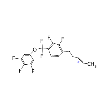 C/C=C/CCc1ccc(C(F)(F)Oc2cc(F)c(F)c(F)c2)c(F)c1F